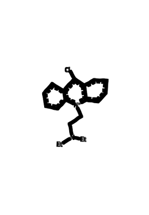 CCN(CC)CC[n+]1c2ccccc2c(Cl)c2ccccc21